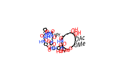 CO[C@H]1/C=C/O[C@@]2(C)Oc3c(C)c(O)c4c(=O)c(c5oc6cc(N7CCN(C(=O)OCc8ccc(NC(=O)CNC(=O)[C@H](Cc9ccccc9)NC(=O)[C@H](C)NC(=O)[C@H](CC(C)C)NC(=O)CCN9C(=O)C=CC9=O)cc8)CC7)cc(O)c6nc-5c4c3C2=O)NC(=O)/C(C)=C\C=C\[C@H](C)[C@H](O)[C@@H](C)[C@@H](O)[C@@H](C)[C@H](OC(C)=O)[C@@H]1C